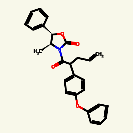 C=CCC(C(=O)N1C(=O)O[C@@H](c2ccccc2)[C@H]1C)c1ccc(Oc2ccccc2)cc1